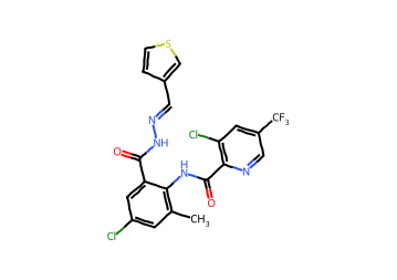 Cc1cc(Cl)cc(C(=O)NN=Cc2ccsc2)c1NC(=O)c1ncc(C(F)(F)F)cc1Cl